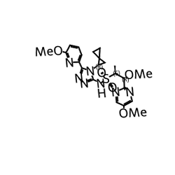 COc1cnc([C@@H](OC)[C@H](C)S(=O)(=O)Nc2nnc(-c3cccc(OC)n3)n2[C@@H]2CC23CC3)nc1